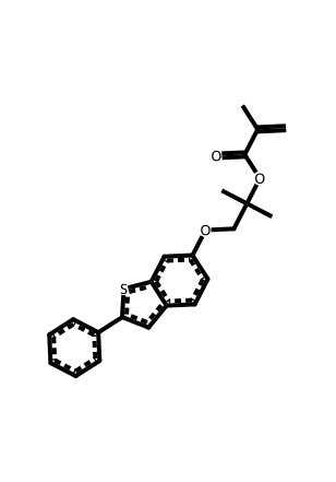 C=C(C)C(=O)OC(C)(C)COc1ccc2cc(-c3ccccc3)sc2c1